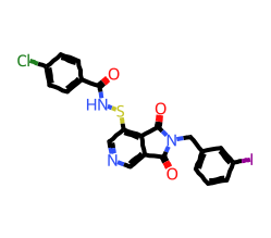 O=C(NSc1cncc2c1C(=O)N(Cc1cccc(I)c1)C2=O)c1ccc(Cl)cc1